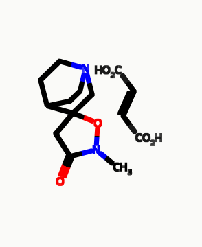 CN1OC2(CC1=O)CN1CCC2CC1.O=C(O)/C=C/C(=O)O